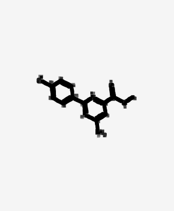 COC(=O)c1cc(N)nc(-c2ccc(Cl)cc2)n1